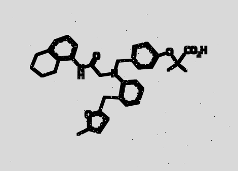 Cc1ccc(Cc2ccccc2N(CC(=O)Nc2cccc3c2CCCC3)Cc2ccc(OC(C)(C)C(=O)O)cc2)o1